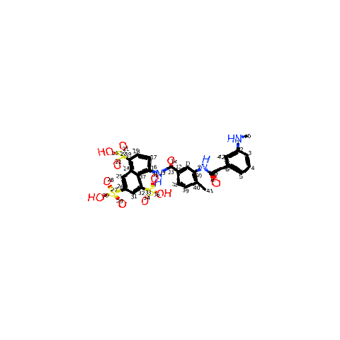 CNc1cccc(C(=O)Nc2cc(C(=O)Nc3ccc(S(=O)(=O)O)c4cc(S(=O)(=O)O)cc(S(=O)(=O)O)c34)ccc2C)c1